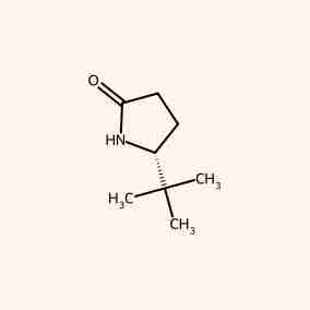 CC(C)(C)[C@H]1CCC(=O)N1